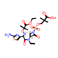 CCOC(=O)C(C)(C)O/N=C(/C(=O)N(CC)[C@@H]1C(=O)N(S(=O)(=O)OCC(C)(C)C(=O)O)[C@H]1C)c1csc(N)n1